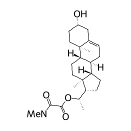 CNC(=O)C(=O)O[C@@H](C)[C@H]1CC[C@H]2[C@@H]3CC=C4C[C@@H](O)CC[C@]4(C)[C@H]3CC[C@]12C